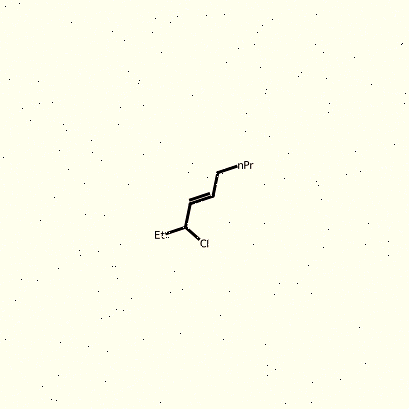 CCCC/C=C/C(Cl)CC